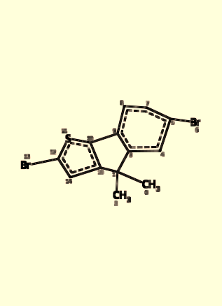 CC1(C)c2cc(Br)ccc2-c2sc(Br)cc21